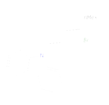 CCCCCCC(Br)CCCn1c2ccccc2c2ccccc21